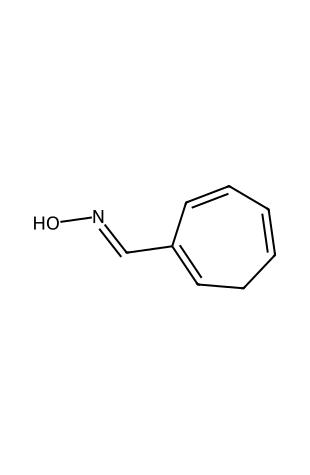 O/N=C/C1=CCC=CC=C1